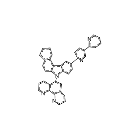 c1ccc(-c2ccc(-c3ccc4c(c3)c3c5ccccc5ccc3n4-c3cc4cccnc4c4ncccc34)nc2)nc1